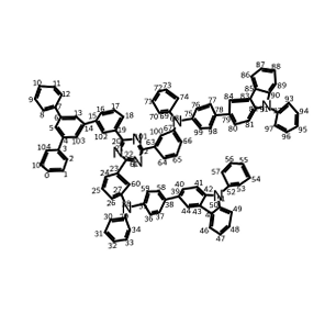 c1ccc(-c2cc(-c3ccccc3)cc(-c3cccc(-c4nc(-c5cccc(N(c6ccccc6)c6ccc(-c7ccc8c(c7)c7ccccc7n8-c7ccccc7)cc6)c5)nc(-c5cccc(N(c6ccccc6)c6ccc(-c7ccc8c(c7)c7ccccc7n8-c7ccccc7)cc6)c5)n4)c3)c2)cc1